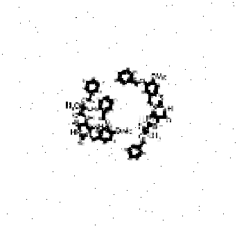 COc1ccc(Cn2c(=S)[nH]c(=O)c3[nH]c(C(C)(C)OCc4ccccc4)nc32)cc1OCc1ccccc1.COc1ccc(Cn2c(N)c(NC(=O)C(C)(C)OCc3ccccc3)c(=O)[nH]c2=S)cc1OCc1ccccc1